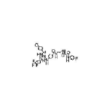 CN(CCCNC(=O)c1ccc(Nc2nc(NC3(c4ccc(Cl)cc4)CC3)nc(OCC(F)(F)F)n2)cc1)C(=O)C(=O)Nc1ccc(F)cc1